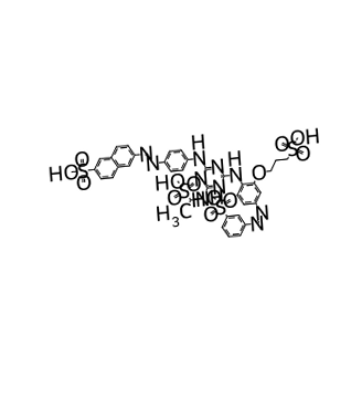 CC(Nc1nc(Nc2ccc(N=Nc3ccc4cc(S(=O)(=O)O)ccc4c3)cc2)nc(Nc2ccc(/N=N\c3cccc(S(=O)(=O)O)c3)cc2OCCCS(=O)(=O)O)n1)S(=O)(=O)O